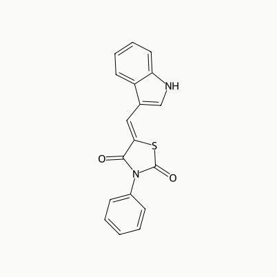 O=C1S/C(=C\c2c[nH]c3ccccc23)C(=O)N1c1ccccc1